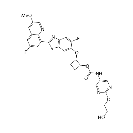 COc1cnc2c(-c3nc4cc(F)c(O[C@@H]5CC[C@@H]5OC(=O)Nc5cnc(OCCO)nc5)cc4s3)cc(F)cc2c1